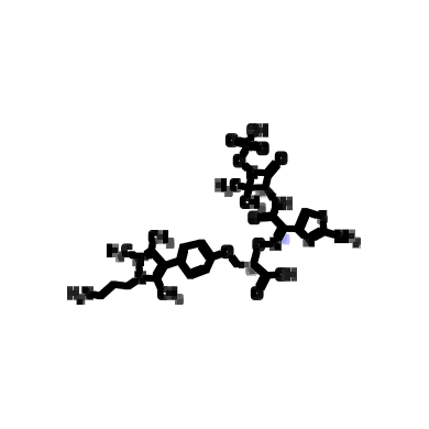 Cc1c(-c2ccc(OC[C@H](O/N=C(\C(=O)N[C@@H]3C(=O)N(OS(=O)(=O)O)C3(C)C)c3csc(N)n3)C(=O)O)cc2)c(C)[n+](C)n1CCCN